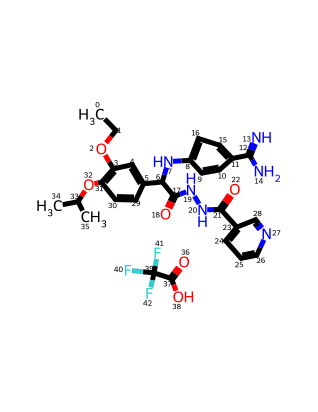 CCOc1cc(C(Nc2ccc(C(=N)N)cc2)C(=O)NNC(=O)c2cccnc2)ccc1OC(C)C.O=C(O)C(F)(F)F